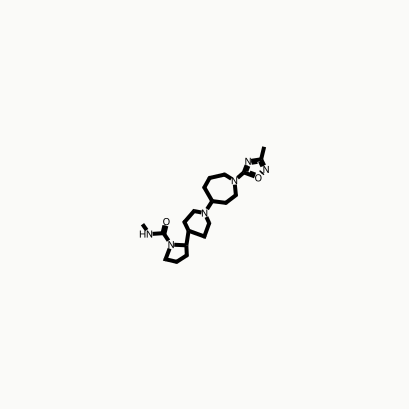 CNC(=O)N1CCCC1C1CCN(C2CCCN(c3nc(C)no3)CC2)CC1